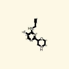 C#CCNc1nc(C2CNCCO2)ncc1F